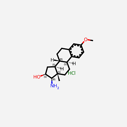 COc1ccc2c(c1)CC[C@@H]1[C@@H]2CC[C@]2(C)[C@@H](N)[C@@H](O)C[C@@H]12.Cl